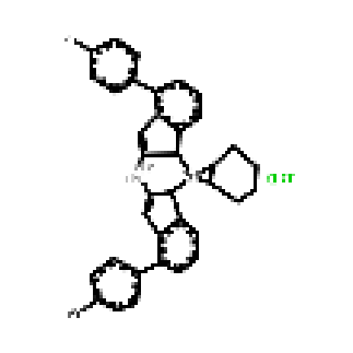 CCCC1=Cc2c(-c3ccc(CCC)cc3)cccc2[CH]1[Zr+2]1([CH]2C(CCC)=Cc3c(-c4ccc(CCC)cc4)cccc32)[CH]2CCCC[CH]21.[Cl-].[Cl-]